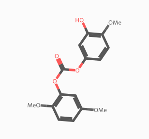 COc1ccc(OC)c(OC(=O)Oc2ccc(OC)c(O)c2)c1